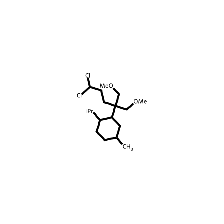 COCC(CCC(Cl)Cl)(COC)C1CC(C)CCC1C(C)C